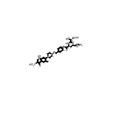 CCn1cc(C(=O)O)c(=O)c2cc(F)c(N3CCN(OCc4ccc(NC(=O)[C@H](CCCNN)NC(=O)[C@@H](NC(C)=O)C(C)C)cc4)CC3)cc21